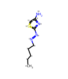 CCCCCN=Nc1nc(N)cs1